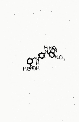 O=[N+]([O-])c1ccc(Nc2ccc(NCc3cccc(B(O)O)c3)cc2)c2nonc12